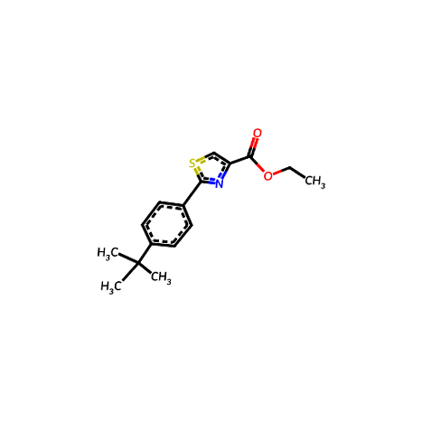 CCOC(=O)c1csc(-c2ccc(C(C)(C)C)cc2)n1